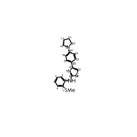 CSc1ccccc1Nc1nc(-c2ccc(N3CCCC3)cc2)cs1